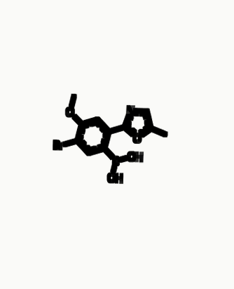 COc1cc(-c2ncc(C)o2)c(B(O)O)cc1Br